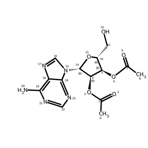 CC(=O)O[C@@H]1[C@H](OC(C)=O)[C@@H](CO)O[C@H]1n1cnc2c(N)ncnc21